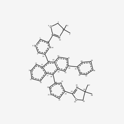 CC1(C)COC(c2cncc(-c3c4ccccc4c(-c4cncc(C5=NC(C)(C)CO5)n4)c4cc(-c5ccccc5)ccc34)n2)=N1